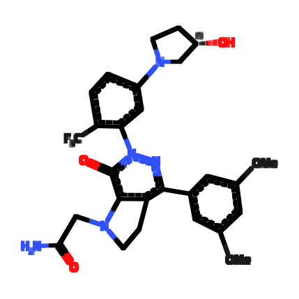 COc1cc(OC)cc(-c2nn(-c3cc(N4CC[C@H](O)C4)ccc3C(F)(F)F)c(=O)c3c2CCN3CC(N)=O)c1